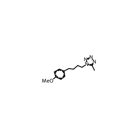 COc1ccc(CCCCn2nnnc2C)cc1